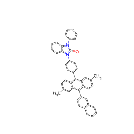 Cc1ccc2c(-c3ccc4ccccc4c3)c3cc(C)ccc3c(-c3ccc(-n4c(=O)n(-c5ccccc5)c5ccccc54)cc3)c2c1